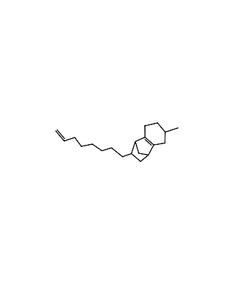 C=CCCCCCCC1CC2CC1C1=C2CC(C)CC1